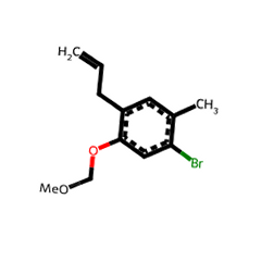 C=CCc1cc(C)c(Br)cc1OCOC